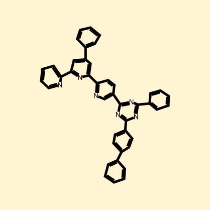 c1ccc(-c2ccc(-c3nc(-c4ccccc4)nc(-c4ccc(-c5cc(-c6ccccc6)cc(-c6ccccn6)n5)nc4)n3)cc2)cc1